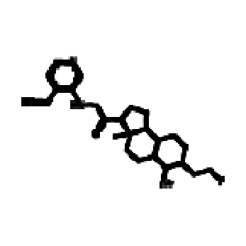 CCCC1C(CCF)CCC2C1CCC1(C)C(C(=O)CNc3cnccc3C=N)CCC21